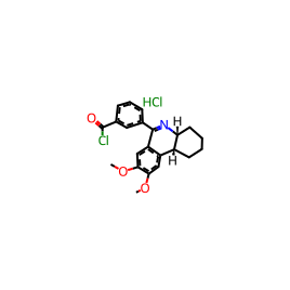 COc1cc2c(cc1OC)[C@H]1CCCC[C@H]1N=C2c1cccc(C(=O)Cl)c1.Cl